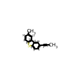 CC#Cc1ccc2sc3ccc(C)cc3c2c1